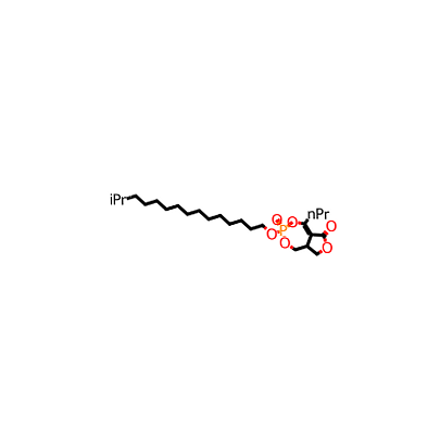 CCCC1=C2C(=O)OCC2COP(=O)(OCCCCCCCCCCCCCC(C)C)O1